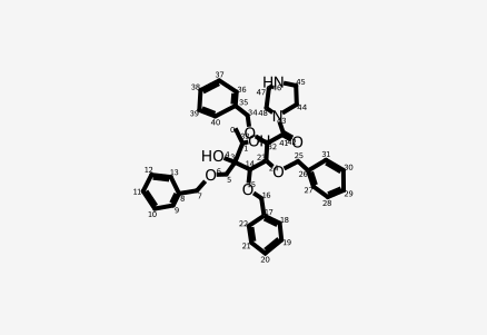 CC(O)C(O)(COCc1ccccc1)C(OCc1ccccc1)C(OCc1ccccc1)C(OCc1ccccc1)C(=O)N1CCNCC1